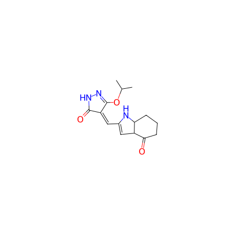 CC(C)OC1=NNC(=O)/C1=C/C1=CC2C(=O)CCCC2N1